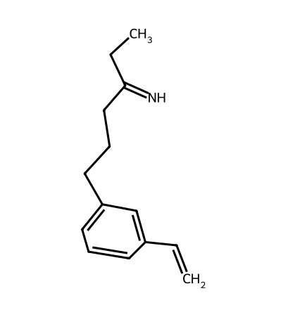 C=Cc1cccc(CCCC(=N)CC)c1